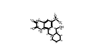 O=c1[nH]c2cc([N+](=O)[O-])cc(CN3CCCCC3CO)c2[nH]c1=O